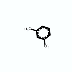 Cc1[c]c[c]c(C(F)(F)F)c1